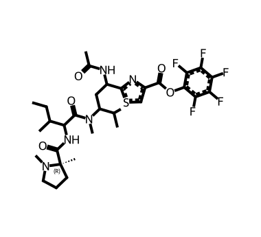 CCC(C)C(NC(=O)[C@@]1(C)CCCN1C)C(=O)N(C)C(CC(NC(C)=O)c1nc(C(=O)Oc2c(F)c(F)c(F)c(F)c2F)cs1)C(C)C